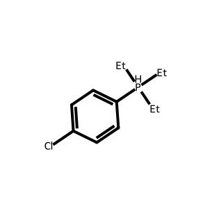 CC[PH](CC)(CC)c1ccc(Cl)cc1